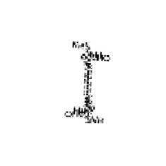 CSCCC(NC=O)C(=O)CCSCCCCCCCCCCSCCC(=O)C(CCSC)NC=O